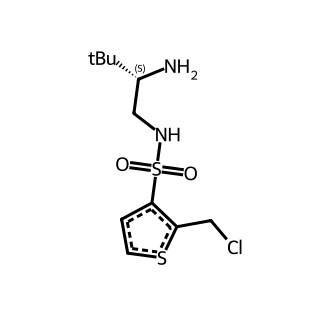 CC(C)(C)[C@H](N)CNS(=O)(=O)c1ccsc1CCl